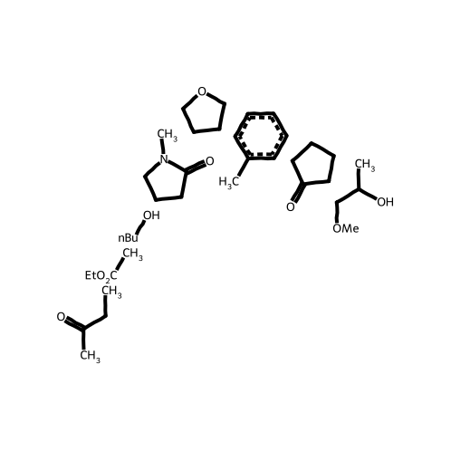 C1CCOC1.CCC(C)=O.CCCCO.CCOC(C)=O.CN1CCCC1=O.COCC(C)O.Cc1ccccc1.O=C1CCCC1